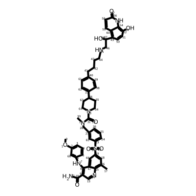 COc1cccc(Nc2c(C(N)=O)cnc3c(C)cc(S(=O)(=O)c4cccc(CN(C)C(=O)N5CCC(c6ccc(CCCCNCC(O)c7ccc(O)c8[nH]c(=O)ccc78)cc6)CC5)c4)cc23)c1